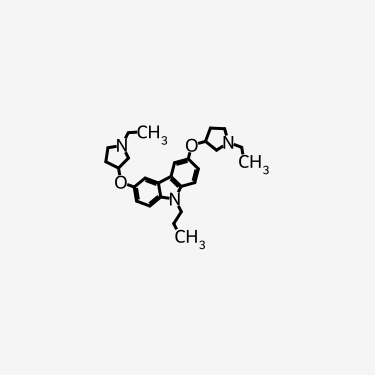 CCCn1c2ccc(OC3CCN(CC)C3)cc2c2cc(OC3CCN(CC)C3)ccc21